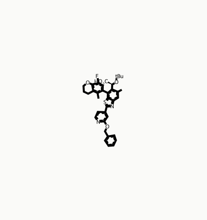 Cc1cc2nc(-c3ccnc(OCc4ccccc4)c3)sc2c(-c2cc(F)c3c(c2C)CCCO3)c1[C@H](OC(C)(C)C)C(=O)O